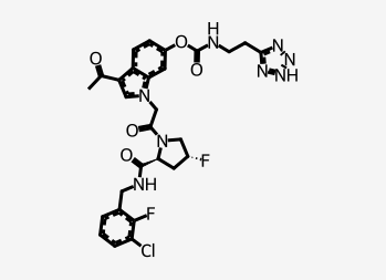 CC(=O)c1cn(CC(=O)N2C[C@H](F)C[C@H]2C(=O)NCc2cccc(Cl)c2F)c2cc(OC(=O)NCCc3nn[nH]n3)ccc12